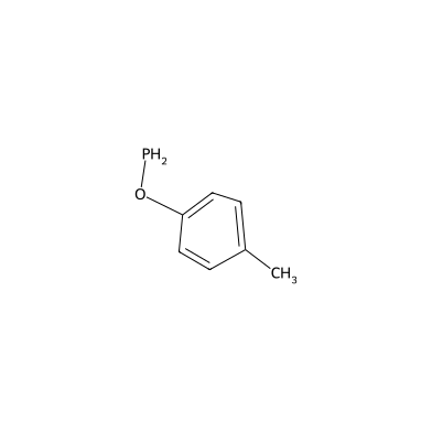 Cc1ccc(OP)cc1